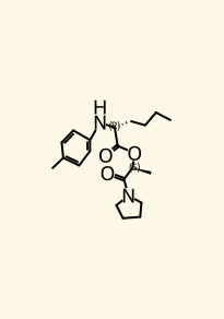 CCCC[C@@H](Nc1ccc(C)cc1)C(=O)O[C@@H](C)C(=O)N1CCCC1